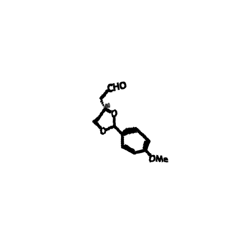 COc1ccc(C2OC[C@H](CC=O)O2)cc1